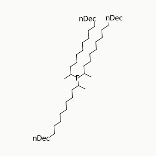 CCCCCCCCCCCCCCCCCCC(C)P(C(C)CCCCCCCCCCCCCCCCCC)C(C)CCCCCCCCCCCCCCCCCC